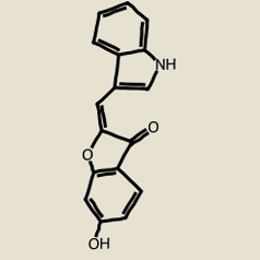 O=C1C(=Cc2c[nH]c3ccccc23)Oc2cc(O)ccc21